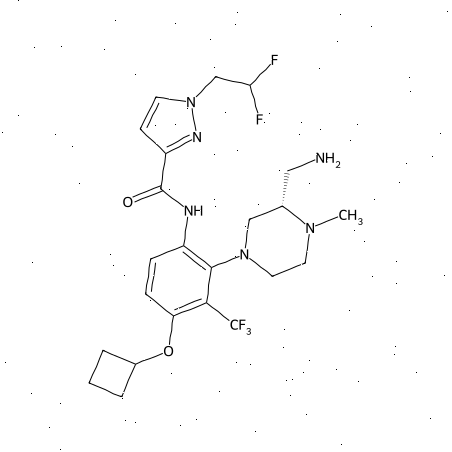 CN1CCN(c2c(NC(=O)c3ccn(CC(F)F)n3)ccc(OC3CCC3)c2C(F)(F)F)C[C@@H]1CN